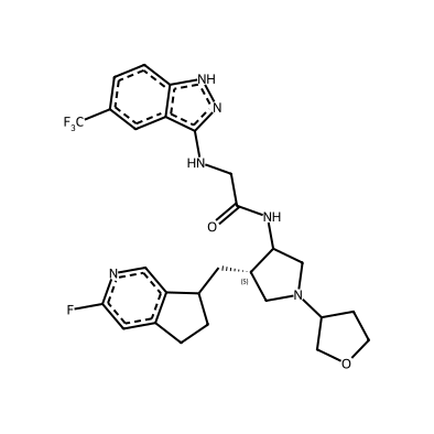 O=C(CNc1n[nH]c2ccc(C(F)(F)F)cc12)NC1CN(C2CCOC2)C[C@@H]1CC1CCc2cc(F)ncc21